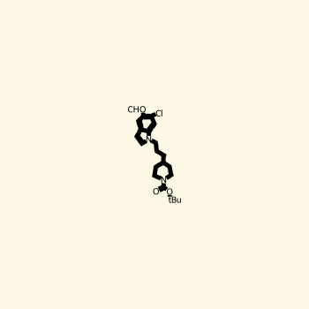 CC(C)(C)OC(=O)N1CCC(CCCn2ccc3cc(C=O)c(Cl)cc32)CC1